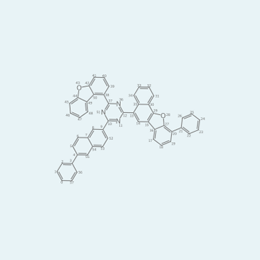 c1ccc(-c2ccc3cc(-c4nc(-c5cc6c7cccc(-c8ccccc8)c7oc6c6ccccc56)nc(-c5cccc6oc7ccccc7c56)n4)ccc3c2)cc1